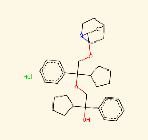 Cl.OC(COC(COC1CC2CCN1CC2)(c1ccccc1)C1CCCC1)(c1ccccc1)C1CCCC1